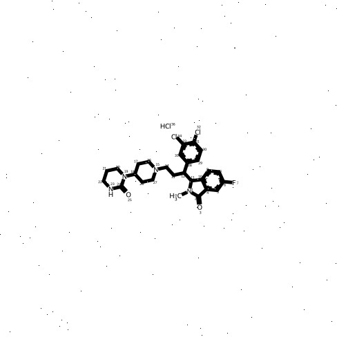 CN1C(=O)c2cc(F)ccc2C1C(CCN1CCC(N2CCCNC2=O)CC1)c1ccc(Cl)c(Cl)c1.Cl